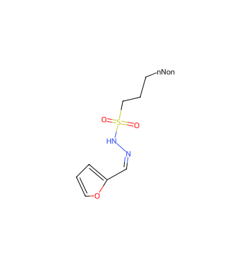 CCCCCCCCCCCCS(=O)(=O)N/N=C\c1ccco1